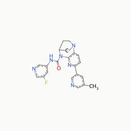 Cc1cncc(-c2ccc3c(n2)N(C(=O)Nc2cncc(F)c2)C2CCN3CC2)c1